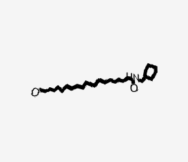 O=CCCCCCCCCCCCCCCCCCCC(=O)NCC1CCCCC1